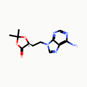 CC1(C)OC(=O)[C@H](CCn2cnc3c(N)ncnc32)O1